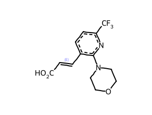 O=C(O)/C=C/c1ccc(C(F)(F)F)nc1N1CCOCC1